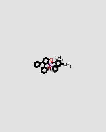 Cc1cc(C)c(C(=O)P(=O)(c2ccccc2)c2cccc(-c3ccccc3)c2-c2ccccc2)c(C)c1